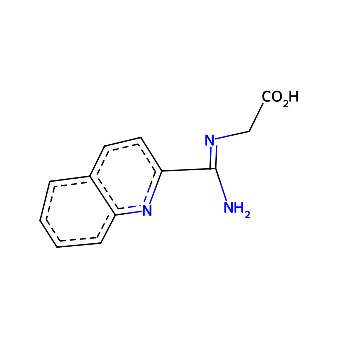 NC(=NCC(=O)O)c1ccc2ccccc2n1